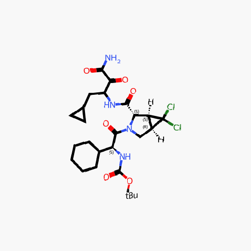 CC(C)(C)OC(=O)N[C@H](C(=O)N1C[C@H]2[C@@H]([C@H]1C(=O)NC(CC1CC1)C(=O)C(N)=O)C2(Cl)Cl)C1CCCCC1